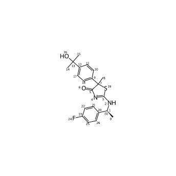 C[C@H](NC1=NC(=O)C(C)(c2ccc(C(C)(C)O)cc2)S1)c1ccc(F)cc1